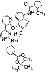 Cc1ccc2c(NC(=O)[C@H]3CCCC3C)cccc2c1Oc1ncccc1-c1ccnc(N[C@H]2CCCN(C(=O)OC(C)(C)C)C2)n1